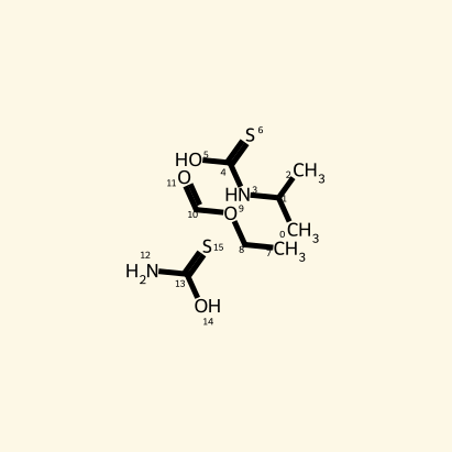 CC(C)NC(O)=S.CCOC=O.NC(O)=S